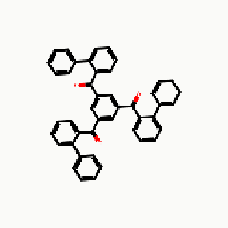 O=C(c1cc(C(=O)c2ccccc2-c2ccccc2)cc(C(=O)c2ccccc2-c2ccccc2)c1)c1ccccc1C1=CCCC=C1